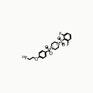 O=S(=O)(c1ccc(OCC[18F])cc1)N1CCN(S(=O)(=O)c2c(F)cccc2F)CC1